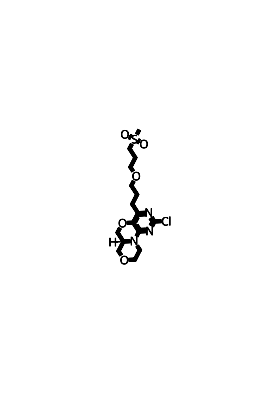 CS(=O)(=O)CCCOCCCc1nc(Cl)nc2c1OC[C@@H]1COCCN21